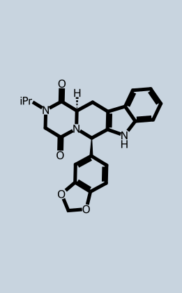 CC(C)N1CC(=O)N2[C@H](c3ccc4c(c3)OCO4)c3[nH]c4ccccc4c3C[C@@H]2C1=O